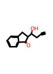 C#CCC(O)C1Cc2ccccc2C1=O